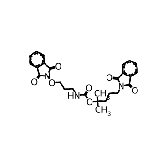 CC(C)(CCCN1C(=O)c2ccccc2C1=O)OC(=O)NCCCON1C(=O)c2ccccc2C1=O